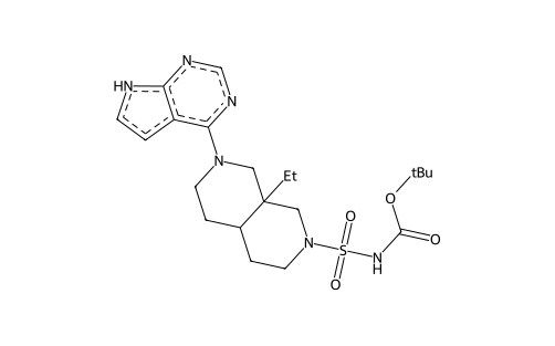 CCC12CN(c3ncnc4[nH]ccc34)CCC1CCN(S(=O)(=O)NC(=O)OC(C)(C)C)C2